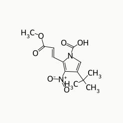 COC(=O)C=Cc1c([N+](=O)[O-])c(C(C)(C)C)cn1C(=O)O